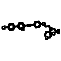 OC1(CN(CCOc2ccc(C#Cc3ccc(-c4ccc(Cl)cc4)cn3)cc2)C2CCOCC2)CC1